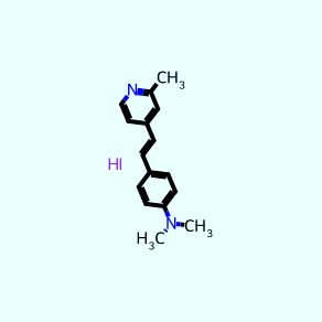 Cc1cc(C=Cc2ccc(N(C)C)cc2)ccn1.I